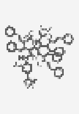 COc1cc(-c2cnnn2C)ccc1Nc1nc(C(=Cc2ccccc2)C(=O)C=Cc2ccccc2)c2c(C(=Cc3ccccc3)C(=O)C=Cc3ccccc3)c(-c3cnn(C)c3)n(C(=O)O)c2c1C(=Cc1ccccc1)C(=O)C=Cc1ccccc1